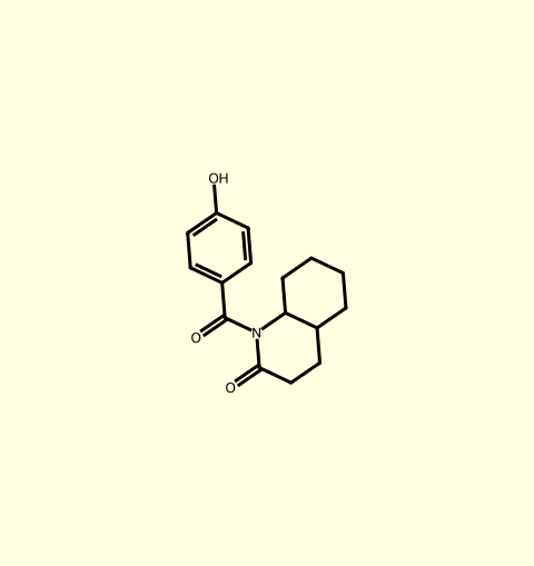 O=C1CCC2CCCCC2N1C(=O)c1ccc(O)cc1